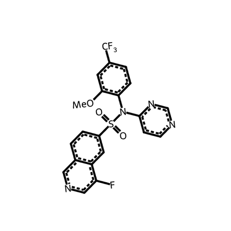 COc1cc(C(F)(F)F)ccc1N(c1ccncn1)S(=O)(=O)c1ccc2cncc(F)c2c1